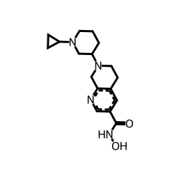 O=C(NO)c1cnc2c(c1)CCN(C1CCCN(C3CC3)C1)C2